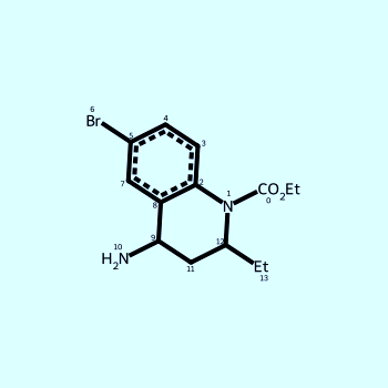 CCOC(=O)N1c2ccc(Br)cc2C(N)CC1CC